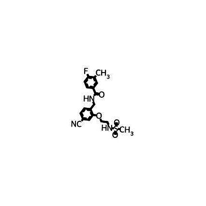 Cc1cc(C(=O)NCc2ccc(C#N)cc2OCCNS(C)(=O)=O)ccc1F